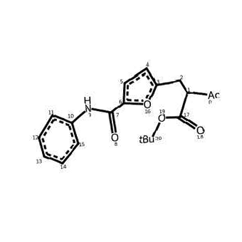 CC(=O)C(Cc1ccc(C(=O)Nc2ccccc2)o1)C(=O)OC(C)(C)C